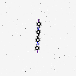 Ic1ccc(/C=N/c2ccc(CCc3ccc(/N=C/c4ccc(I)cc4)cc3)cc2)cc1